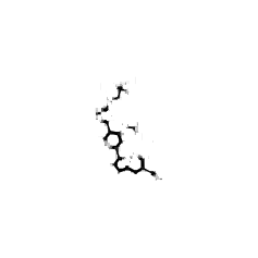 CC(C)Nc1cc(-c2ccc3cc(C#N)cnn23)ncc1-c1nnc(NCC(C)(C)O)s1